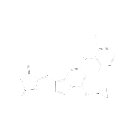 COc1cccc(F)c1Nc1cc(NC2CC2)n2ncc(/C=C3\NC(=O)NC3=O)c2n1